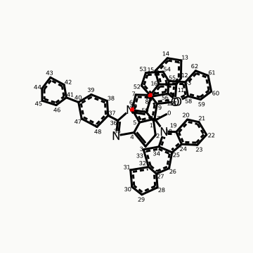 CC1C/C=C(c2ccc3c(oc4ccccc43)c2-n2c3ccccc3c3cc4ccccc4cc32)/N=C(c2ccc(-c3ccccc3)cc2)\N=C/1c1cccc2c1oc1ccccc12